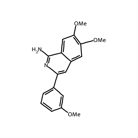 COc1cccc(-c2cc3cc(OC)c(OC)cc3c(N)n2)c1